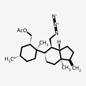 C=C1CC[C@H]2[C@H](CN=[N+]=[N-])[C@@H]([C@@]3(C)CC[C@H](C)C[C@@H]3COC(C)=O)CC[C@]12C